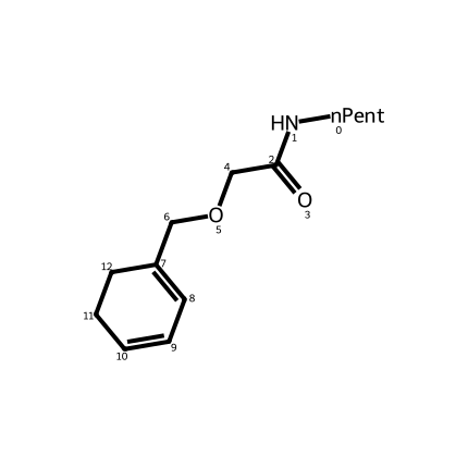 CCCCCNC(=O)COCC1=CC=CCC1